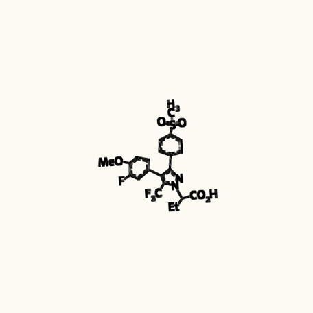 CCC(C(=O)O)n1nc(-c2ccc(S(C)(=O)=O)cc2)c(-c2ccc(OC)c(F)c2)c1C(F)(F)F